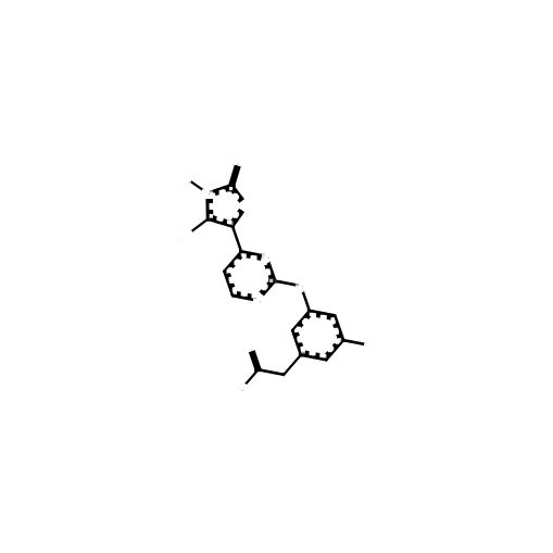 Cc1c(-c2ccnc(Nc3cc(CC(N)=O)cc(C(F)(F)F)c3)n2)sc(=O)n1C